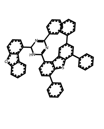 c1ccc(C2=NC(c3cccc4oc5ccccc5c34)NC(c3ccc(-c4ccccc4)c4sc5c(-c6ccccc6)cc(-c6ccccc6)cc5c34)=N2)cc1